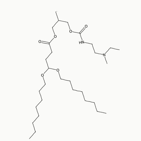 [CH2]C(COC(=O)CCC(OCCCCCCCC)OCCCCCCCC)COC(=O)NCCN(C)CC